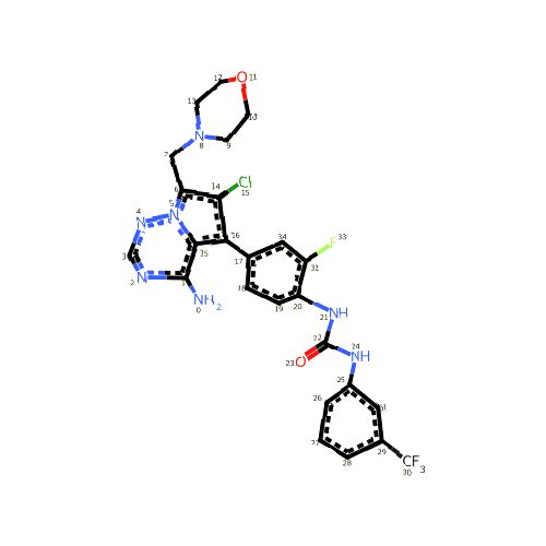 Nc1ncnn2c(CN3CCOCC3)c(Cl)c(-c3ccc(NC(=O)Nc4cccc(C(F)(F)F)c4)c(F)c3)c12